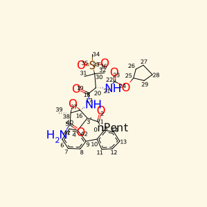 CCCCCC(=O)[C](c1ccccc1-c1ccccc1)[C@]1(NC(=O)[C@@H](NC(=O)OC2CCCC2)C(C)(C)S(C)(=O)=O)O[C@]1(C)C(N)=O